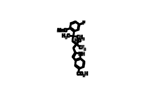 COc1ccc(F)cc1C(C)(C)CC(O)(Cc1cc2cc(C(=O)O)ccc2[nH]1)C(F)(F)F